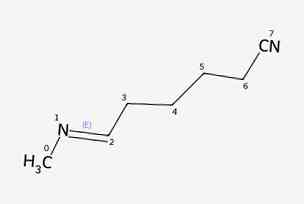 C/N=C/CCCCC#N